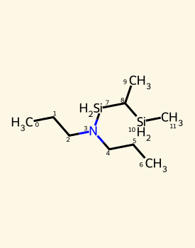 CCCN(CCC)[SiH2]C(C)[SiH2]C